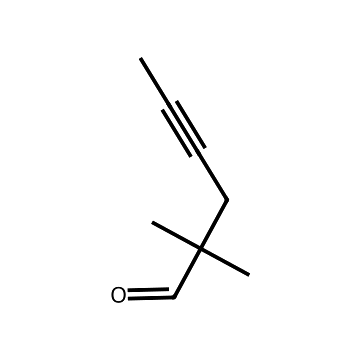 CC#CCC(C)(C)C=O